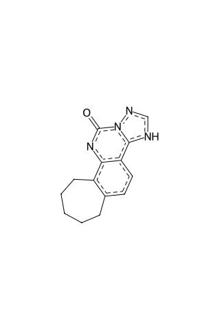 O=c1nc2c3c(ccc2c2[nH]cnn12)CCCCC3